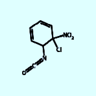 O=C=NC1C=CC=CC1(Cl)[N+](=O)[O-]